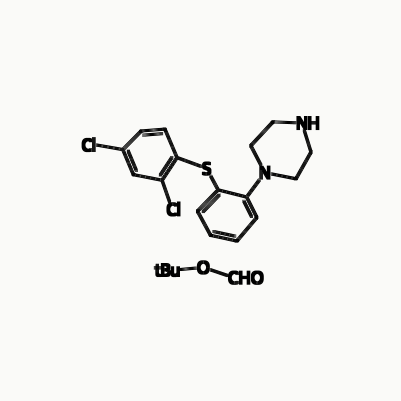 CC(C)(C)OC=O.Clc1ccc(Sc2ccccc2N2CCNCC2)c(Cl)c1